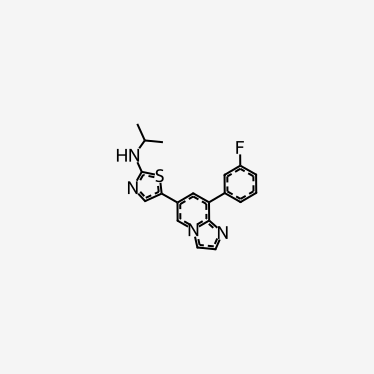 CC(C)Nc1ncc(-c2cc(-c3cccc(F)c3)c3nccn3c2)s1